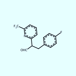 O=CC(Cc1ccc(F)cc1)c1cccc(C(F)(F)F)n1